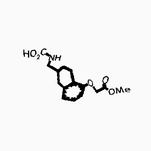 COC(=O)COc1cccc2c1CCC(CNC(=O)O)C2